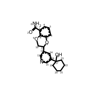 NC(=O)c1cccc2c1OCC(c1cncc(C3(O)CCCCC3)c1)O2